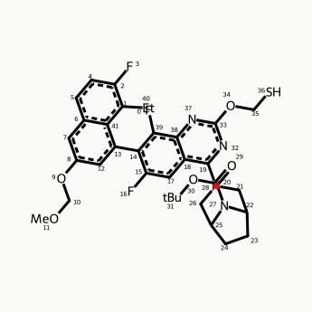 CCc1c(F)ccc2cc(OCOC)cc(-c3c(F)cc4c(N5CC6CCC(C5)N6C(=O)OC(C)(C)C)nc(OCS)nc4c3F)c12